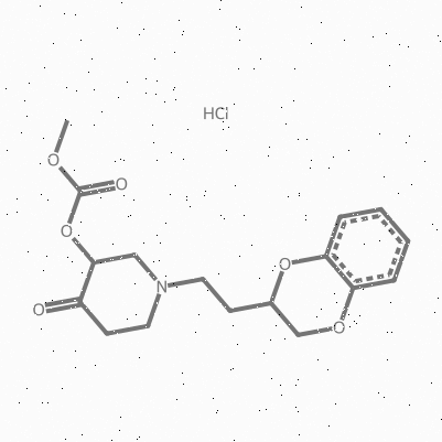 COC(=O)OC1CN(CCC2COc3ccccc3O2)CCC1=O.Cl